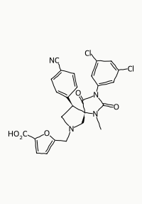 CN1C(=O)N(c2cc(Cl)cc(Cl)c2)C(=O)[C@]12CN(Cc1ccc(C(=O)O)o1)C[C@H]2c1ccc(C#N)cc1